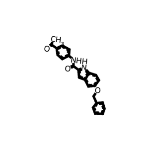 CC(=O)c1ccc(NC(=O)c2cc3cc(OCc4ccccc4)ccc3[nH]2)cc1